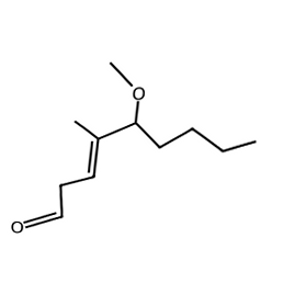 CCCCC(OC)C(C)=CCC=O